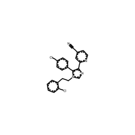 N#Cc1ccnc(-c2ncn(CCc3ccccc3Cl)c2-c2ccc(Cl)cc2)c1